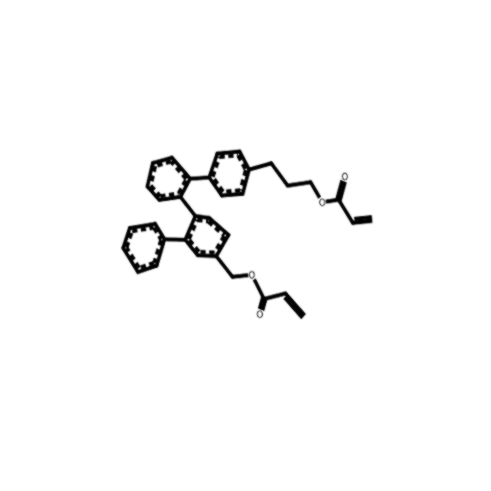 C=CC(=O)OCCCc1ccc(-c2ccccc2-c2ccc(COC(=O)C=C)cc2-c2ccccc2)cc1